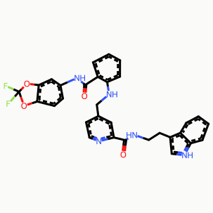 O=C(NCCc1c[nH]c2ccccc12)c1cc(CNc2ccccc2C(=O)Nc2ccc3c(c2)OC(F)(F)O3)ccn1